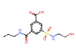 CCCNC(=O)c1cc(C(=O)O)cc(S(=O)(=O)NCCO)c1